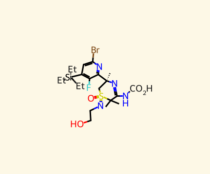 CC[Si](CC)(CC)c1cc(Br)nc([C@]2(C)CS(=O)(=NCCO)C(C)(C)C(NC(=O)O)=N2)c1F